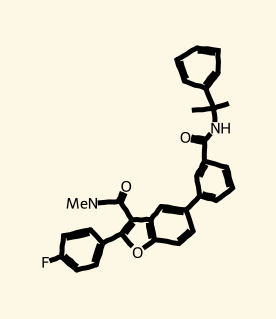 CNC(=O)c1c(-c2ccc(F)cc2)oc2ccc(-c3cccc(C(=O)NC(C)(C)c4ccccc4)c3)cc12